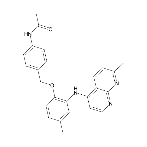 CC(=O)Nc1ccc(COc2ccc(C)cc2Nc2ccnc3nc(C)ccc23)cc1